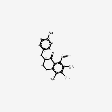 Cc1c(C)c2c(c(N=O)c1C)C(=O)C(Cc1ccc(O)cc1)CC2